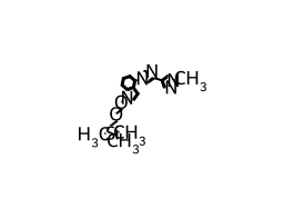 Cn1cc(-c2cn(-c3cccc4c3ccn4OCOCC[Si](C)(C)C)cn2)cn1